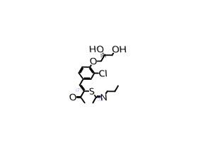 CCC/N=C(/C)S/C(=C\c1ccc(OC[C@H](O)CO)c(Cl)c1)C(C)=O